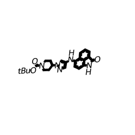 CC(C)(C)OC(=O)N1CCC(n2cc(Nc3ccc4c5c(cccc35)C(=O)N4)cn2)CC1